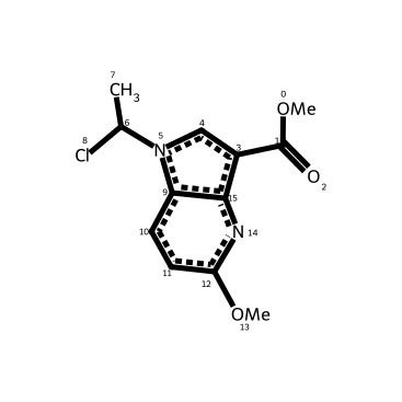 COC(=O)c1cn(C(C)Cl)c2ccc(OC)nc12